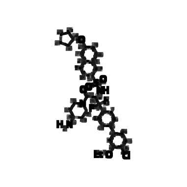 CCOc1cc(-c2ccc(C(F)(F)[C@@H](NS(=O)(=O)c3ccc4cc(OC5CCCC5)ccc4c3)C(=O)N3CCC(N)CC3)cc2)ccc1Cl